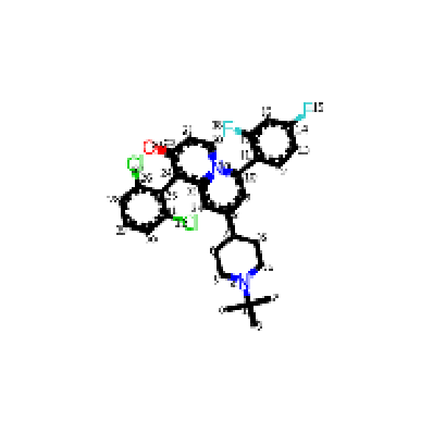 CC(C)(C)N1CCC(c2cc(-c3ccc(F)cc3F)n3ccc(=O)c(-c4c(Cl)cccc4Cl)c3c2)CC1